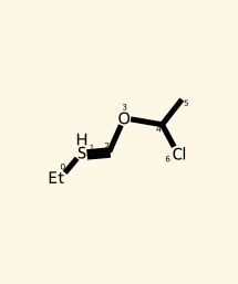 CC[SH]=COC(C)Cl